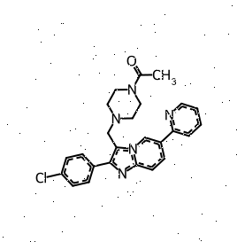 CC(=O)N1CCN(Cc2c(-c3ccc(Cl)cc3)nc3ccc(-c4ccccn4)cn23)CC1